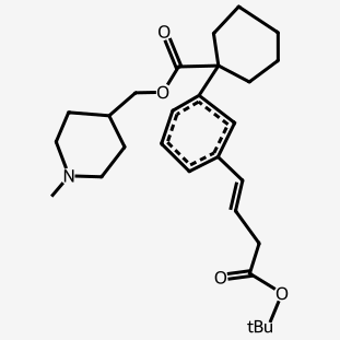 CN1CCC(COC(=O)C2(c3cccc(/C=C/CC(=O)OC(C)(C)C)c3)CCCCC2)CC1